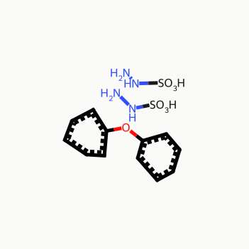 NNS(=O)(=O)O.NNS(=O)(=O)O.c1ccc(Oc2ccccc2)cc1